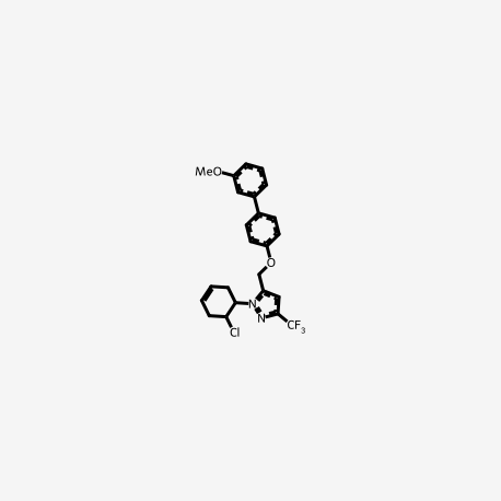 COc1cccc(-c2ccc(OCc3cc(C(F)(F)F)nn3C3CC=CCC3Cl)cc2)c1